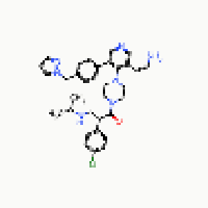 CC(C)NC[C@@H](C(=O)N1CCN(c2c(/C=C\N)cncc2-c2ccc(Cn3cccn3)cc2)CC1)c1ccc(Cl)cc1